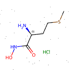 CSCC[C@H](N)C(=O)NO.Cl